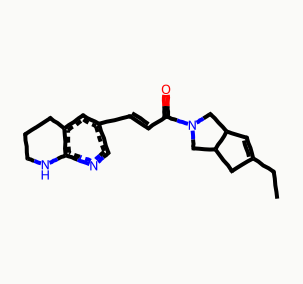 CCC1=CC2CN(C(=O)/C=C/c3cnc4c(c3)CCCN4)CC2C1